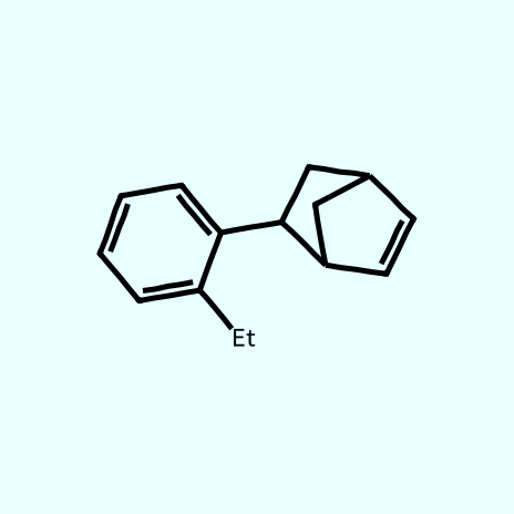 CCc1ccccc1C1CC2C=CC1C2